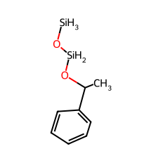 CC(O[SiH2]O[SiH3])c1ccccc1